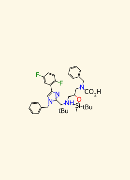 CC(C)(C)[C@@H](NC[C@@H](CN(Cc1ccccc1)C(=O)O)O[Si](C)(C)C(C)(C)C)c1nc(-c2cc(F)ccc2F)cn1Cc1ccccc1